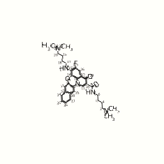 CN(C)CCCCNC(=O)c1cn2c3c(c(NCCCCN(C)C)c(F)cc3c1=O)Oc1cc3ccccc3cc1-2